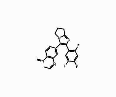 C=Nc1ccc(-c2c(-c3cc(F)c(F)cc3F)nc3n2CCC3)cc1/N=C\C